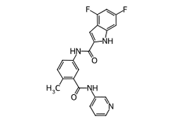 Cc1ccc(NC(=O)c2cc3c(F)cc(F)cc3[nH]2)cc1C(=O)Nc1cccnc1